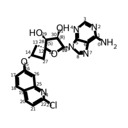 Nc1ncnc2c1ncn2[C@@H]1O[C@]2(C[C@@H](Oc3ccc4ccc(Cl)nc4c3)C2)[C@@H](O)[C@H]1O